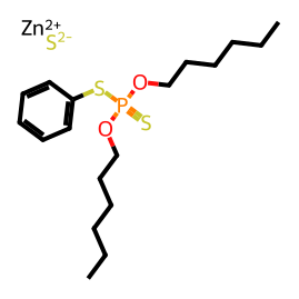 CCCCCCOP(=S)(OCCCCCC)Sc1ccccc1.[S-2].[Zn+2]